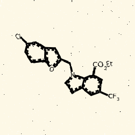 CCOC(=O)c1cc(C(F)(F)F)cc2ccn(Cc3cc4cc(Cl)ccc4o3)c12